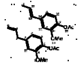 C=CCc1ccc(OC(C)=O)c(OC)c1.CC=Cc1ccc(OC(C)=O)c(OC)c1